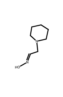 ON=CCN1CCCCC1